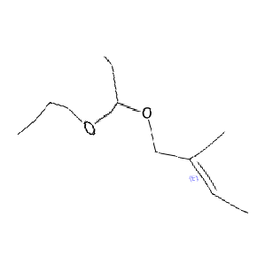 C/C=C(\C)COC(C)OCC